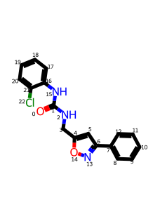 O=C(NCc1cc(-c2ccccc2)no1)Nc1ccccc1Cl